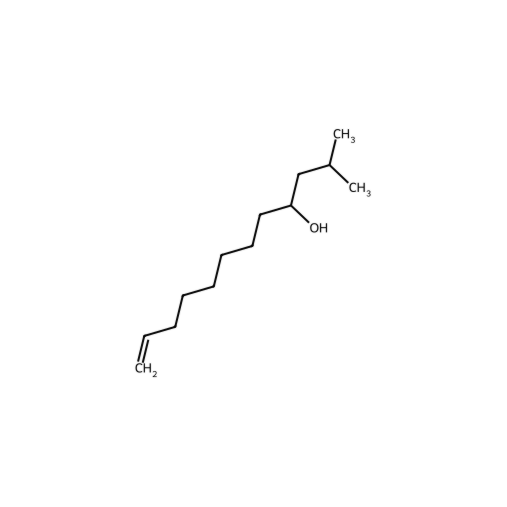 C=CCCCCCCC(O)CC(C)C